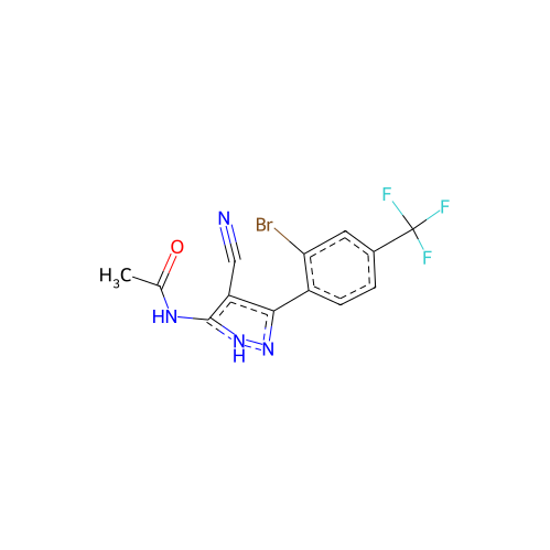 CC(=O)Nc1[nH]nc(-c2ccc(C(F)(F)F)cc2Br)c1C#N